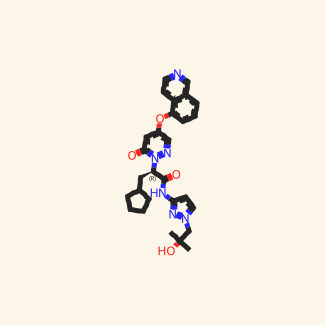 CC(C)(O)Cn1ccc(NC(=O)[C@@H](CC2CCCC2)n2ncc(Oc3cccc4cnccc34)cc2=O)n1